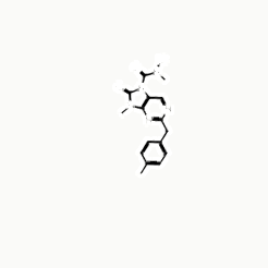 CCN(C)C(=O)n1c(=O)n(C)c2nc(Cc3ccc(C)cc3)ncc21